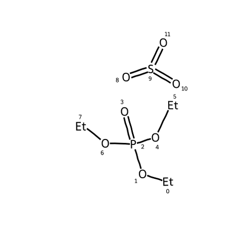 CCOP(=O)(OCC)OCC.O=S(=O)=O